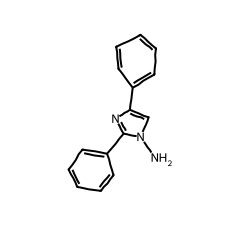 Nn1cc(-c2ccccc2)nc1-c1ccccc1